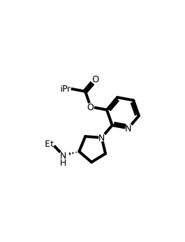 CCN[C@H]1CCN(c2ncccc2OC(=O)C(C)C)C1